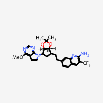 COc1ncnc2c1ccn2C1CC(CCc2ccc3cc(C(F)(F)F)c(N)nc3c2)[C@H]2OC(C)(C)O[C@@H]12